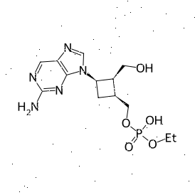 CCOP(=O)(O)OC[C@H]1C[C@@H](n2cnc3cnc(N)nc32)[C@H]1CO